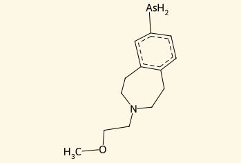 COCCN1CCc2ccc([AsH2])cc2CC1